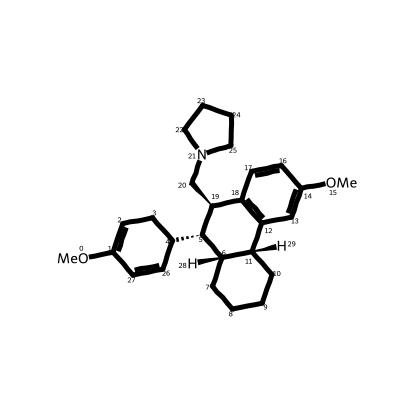 COC1=CCC([C@H]2[C@H]3CCCC[C@H]3c3cc(OC)ccc3[C@@H]2CN2CCCC2)C=C1